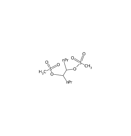 CCCC(OS(C)(=O)=O)C(CCC)OS(C)(=O)=O